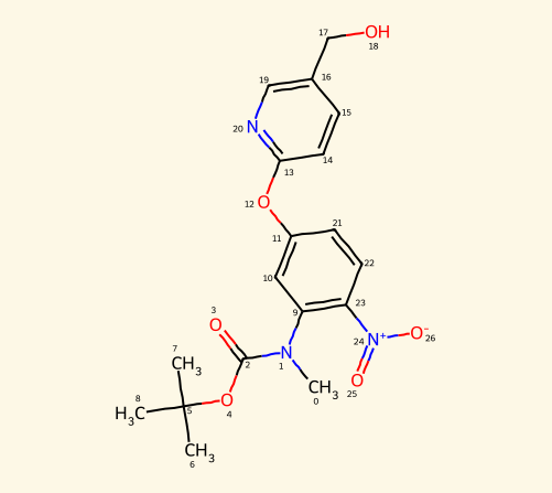 CN(C(=O)OC(C)(C)C)c1cc(Oc2ccc(CO)cn2)ccc1[N+](=O)[O-]